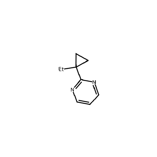 CCC1(c2ncccn2)CC1